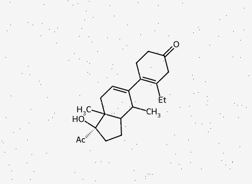 CCC1=C(C2=CCC3(C)C(CC[C@]3(O)C(C)=O)C2C)CCC(=O)C1